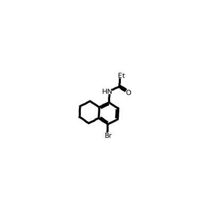 CCC(=O)Nc1ccc(Br)c2c1CCCC2